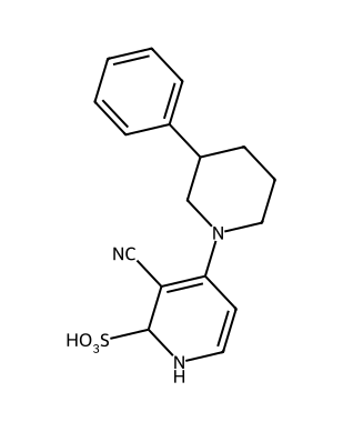 N#CC1=C(N2CCCC(c3ccccc3)C2)C=CNC1S(=O)(=O)O